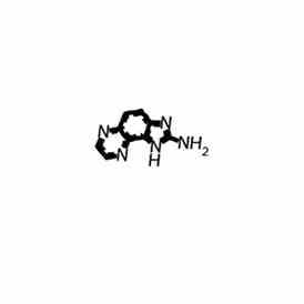 Nc1nc2ccc3nccnc3c2[nH]1